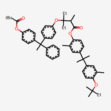 CCC(C)(C)Oc1ccc(C(C)(C)c2ccc(OC(=O)C(C)C(CC)(CC)Oc3ccc(C(C)(c4ccccc4)c4ccc(OC(=O)C(C)(C)C)cc4)cc3)c(C)c2)cc1C